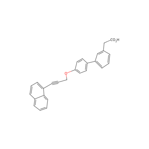 O=C(O)Cc1cccc(-c2ccc(OCC#Cc3cccc4ccccc34)cc2)c1